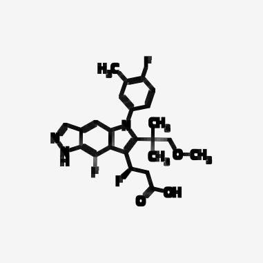 COCC(C)(C)c1c([C@H](F)CC(=O)O)c2c(F)c3[nH]ncc3cc2n1-c1ccc(F)c(C)c1